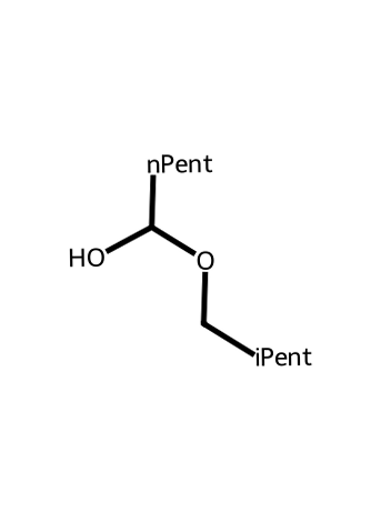 CCCCCC(O)OCC(C)CCC